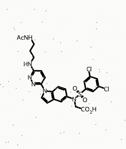 CC(=O)NCCCNc1ccc(-n2ccc3cc(N(CC(=O)O)S(=O)(=O)c4cc(Cl)cc(Cl)c4)ccc32)nn1